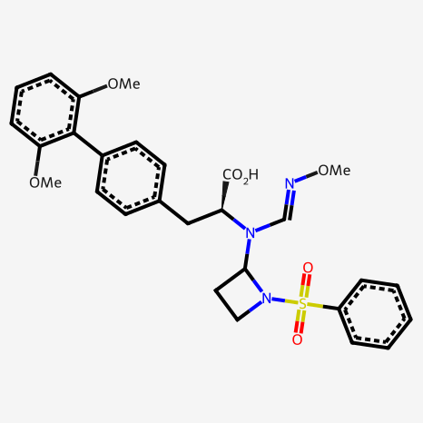 CON=CN(C1CCN1S(=O)(=O)c1ccccc1)[C@@H](Cc1ccc(-c2c(OC)cccc2OC)cc1)C(=O)O